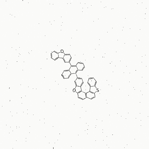 c1ccc2c(c1)oc1ccc(-c3c4ccccc4c(-c4ccc5c(c4)oc4ccc6ccc7sc8ccccc8c7c6c45)c4ccccc34)cc12